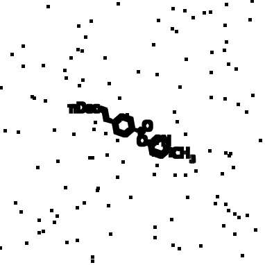 CCCCCCCCCCCC[C@H]1CC[C@H](C(=O)Oc2ccc(C)nc2)CC1